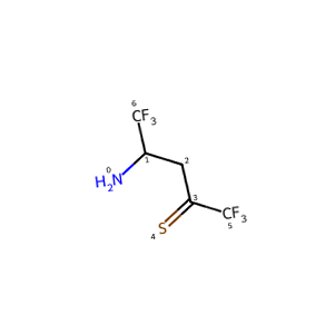 NC(CC(=S)C(F)(F)F)C(F)(F)F